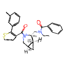 CCN(C[C@@H]1[C@H]2C[C@H]2CN1C(=O)c1ccsc1-c1cccc(C)c1)C(=O)c1ccccc1